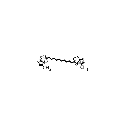 Cc1csc(=S)n1OC(=O)CCCCCCCCCCC(=O)On1c(C)csc1=S